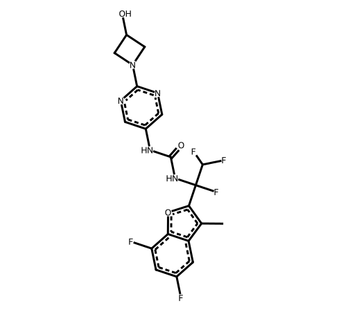 Cc1c(C(F)(NC(=O)Nc2cnc(N3CC(O)C3)nc2)C(F)F)oc2c(F)cc(F)cc12